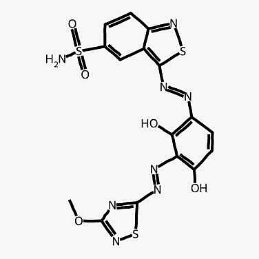 COc1nsc(/N=N/c2c(O)ccc(/N=N/c3snc4ccc(S(N)(=O)=O)cc34)c2O)n1